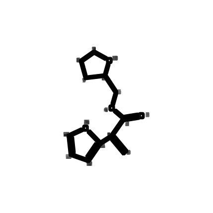 C=C(C(=O)OCC1CCCO1)c1ccco1